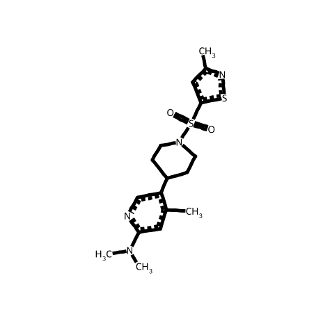 Cc1cc(S(=O)(=O)N2CCC(c3cnc(N(C)C)cc3C)CC2)sn1